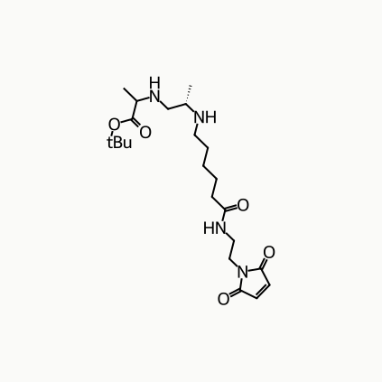 CC(NC[C@H](C)NCCCCCC(=O)NCCN1C(=O)C=CC1=O)C(=O)OC(C)(C)C